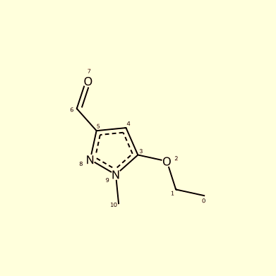 CCOc1cc(C=O)nn1C